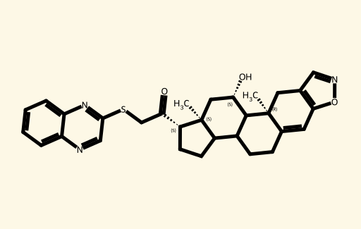 C[C@]12Cc3cnoc3C=C1CCC1C2[C@@H](O)C[C@@]2(C)C1CC[C@@H]2C(=O)CSc1cnc2ccccc2n1